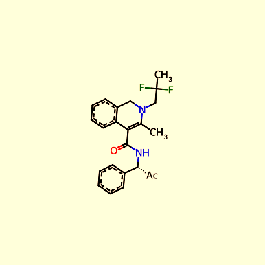 CC(=O)[C@@H](NC(=O)C1=C(C)N(CC(C)(F)F)Cc2ccccc21)c1ccccc1